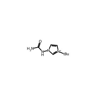 CC(C)(C)[n+]1ccn(NC(N)=O)c1